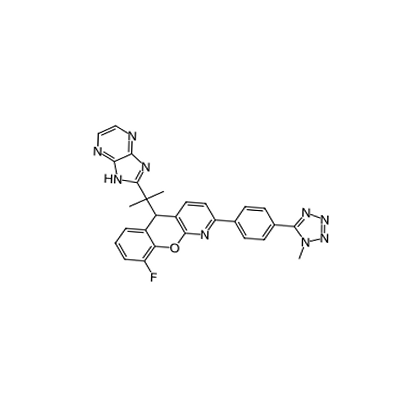 Cn1nnnc1-c1ccc(-c2ccc3c(n2)Oc2c(F)cccc2C3C(C)(C)c2nc3nccnc3[nH]2)cc1